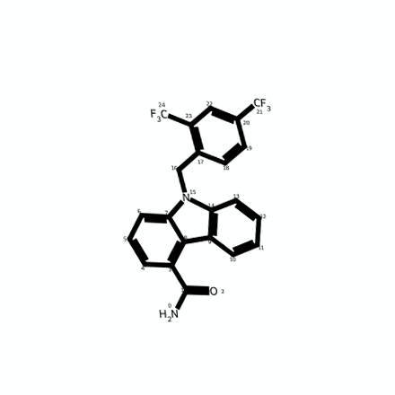 NC(=O)c1cccc2c1c1[c]cccc1n2Cc1ccc(C(F)(F)F)cc1C(F)(F)F